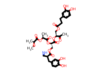 CO[C@@H](C)C(=O)O[C@@H](C)C(=O)O[C@@H](COC(=O)C(C=N)Cc1ccc(O)c(O)c1)C(=O)O[C@@H](COC(=O)CCc1ccc(O)c(O)c1)C(C)=O